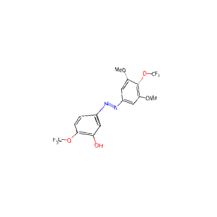 COc1cc(N=Nc2ccc(OC(F)(F)F)c(O)c2)cc(OC)c1OC(F)(F)F